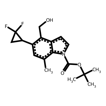 Cc1cc(C2CC2(F)F)c(CO)c2ccn(C(=O)OC(C)(C)C)c12